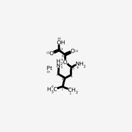 CC(C)C(CN)CC(N)OC(=O)C(=O)O.[Pt]